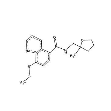 CSSc1ccc(C(=O)NCC2(C)CCCO2)c2cccnc12